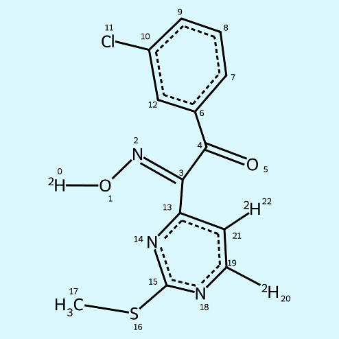 [2H]ON=C(C(=O)c1cccc(Cl)c1)c1nc(SC)nc([2H])c1[2H]